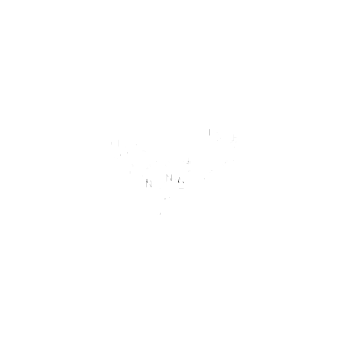 C=C1c2ccc(OC(F)(F)F)cc2N=C(C2CC2)N1NC(=O)Cc1ccc(F)c(F)c1